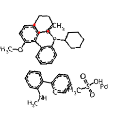 CNc1ccccc1-c1[c-]cccc1.COc1cccc(OC)c1-c1ccccc1P(C1CCCCC1)C1CCCCC1.CS(=O)(=O)O.[Pd]